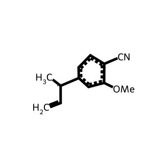 C=C[C](C)c1ccc(C#N)c(OC)c1